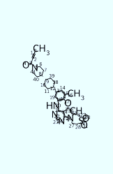 CC#CC(=O)N1CCC([C@H]2CC[C@@H](c3cc(C)c4c(c3)Nc3ncnc(N5CCS(=O)(=O)CC5)c3[C@@H](C)O4)CC2)CC1